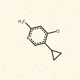 Cc1cc(Cl)c(C2CC2)cn1